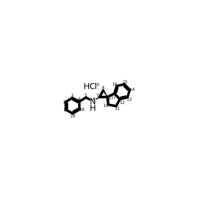 Cl.c1ccc(CN[C@@H]2C[C@@]23CCc2ccccc23)cc1